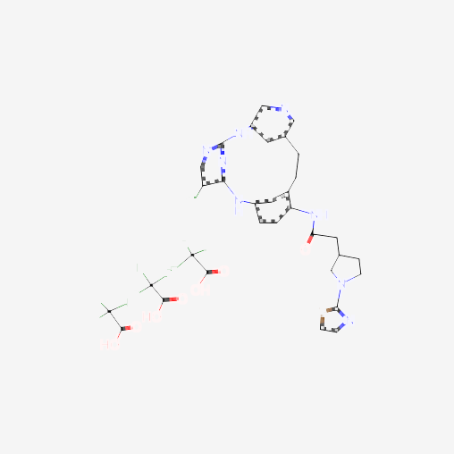 O=C(CC1CCN(c2nccs2)C1)Nc1ccc2cc1CCc1cncc(c1)Nc1ncc(Cl)c(n1)N2.O=C(O)C(F)(F)F.O=C(O)C(F)(F)F.O=C(O)C(F)(F)F